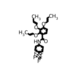 CC=COc1ccc(C(=O)Nc2ccc(S(F)(F)(F)(F)F)cc2)c(OC=CC)c1OC=CC